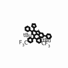 CC(C)(C)c1cc2c(cc1-c1ccccc1)=[C]c1c(C3=CC=CC3)c(-c3ccccc3)c(C(C)(C)C)c(=C(c3ccc(C(F)(F)F)cc3)c3ccc(C(F)(F)F)cc3)c1=2